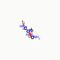 CCOCCNc1ncc(-c2ccc(C(=O)NS(=O)(=O)c3cccc(N)n3)c(N3C[C@@H](C)CC3(C)C)n2)cc1C